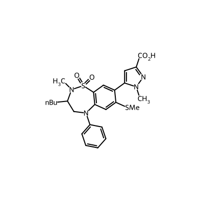 CCCCC1CN(c2ccccc2)c2cc(SC)c(-c3cc(C(=O)O)nn3C)cc2S(=O)(=O)N1C